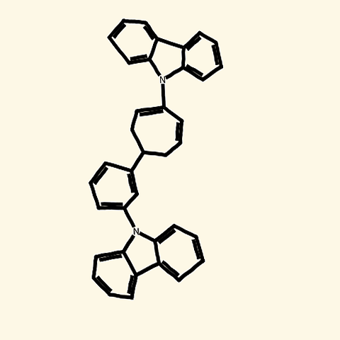 C1=CC(n2c3ccccc3c3ccccc32)=CCC(c2cccc(-n3c4ccccc4c4ccccc43)c2)C1